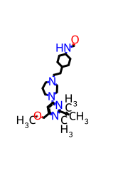 COCc1cc(N2CCCN(CCC3CCC(NC=O)CC3)CC2)nc(C(C)(C)C)n1